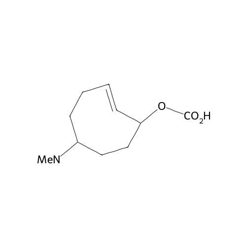 CNC1CC/C=C/C(OC(=O)O)CC1